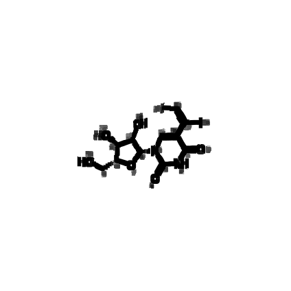 O=c1[nH]c(=O)n([C@@H]2O[C@H](CO)[C@@H](O)[C@H]2O)cc1/C(I)=C\I